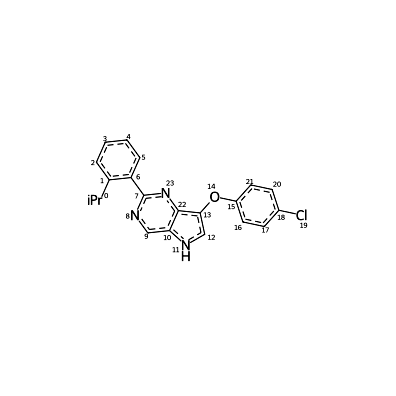 CC(C)c1ccccc1-c1ncc2[nH]cc(Oc3ccc(Cl)cc3)c2n1